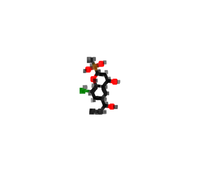 CCS(=O)(=O)c1cc(=O)c2cc(C(=O)OC)cc(Br)c2o1